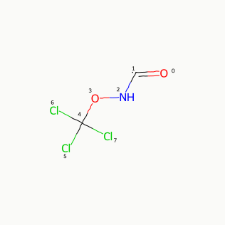 O=[C]NOC(Cl)(Cl)Cl